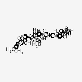 C=CC(=O)Nc1cc(Nc2nc(-c3ccnc(N4CCn5c(cc6c5CC(C)(C)C6)C4=O)c3CO)cn(C)c2=O)ccc1N1CCN(C2CCN(c3ccc(Cl)c(C(C)(C)OP(=O)(O)O)c3)CC2)C[C@@H]1C